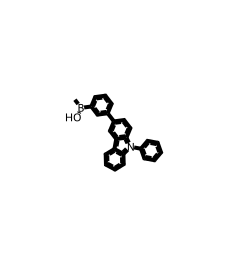 CB(O)c1cccc(-c2ccc3c(c2)c2ccccc2n3-c2ccccc2)c1